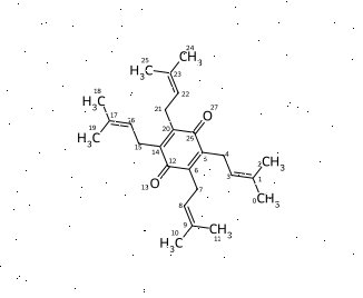 CC(C)=CCC1=C(CC=C(C)C)C(=O)C(CC=C(C)C)=C(CC=C(C)C)C1=O